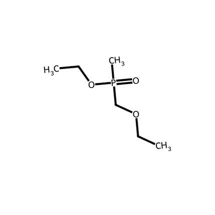 CCOCP(C)(=O)OCC